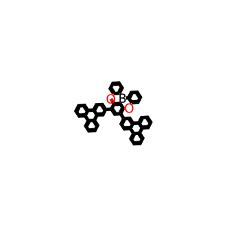 c1ccc2c(c1)Oc1c(-c3ccc4c5ccccc5c5ccccc5c4c3)cc(-c3ccc4c5ccccc5c5ccccc5c4c3)c3c1B2c1ccccc1O3